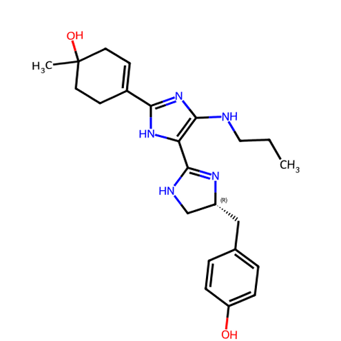 CCCNc1nc(C2=CCC(C)(O)CC2)[nH]c1C1=N[C@H](Cc2ccc(O)cc2)CN1